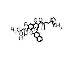 C[C@H](O)CNc1c(F)cc2c(=O)c(C(=O)NCCC3CCCN3C)cn3c2c1Oc1cc2ccccc2cc1-3